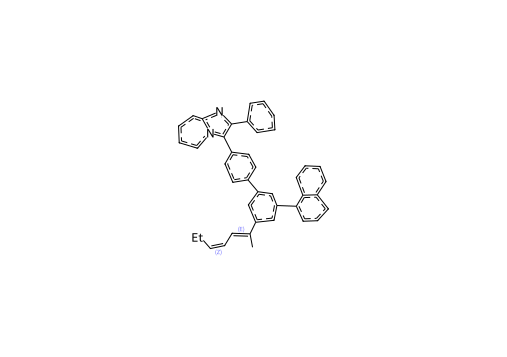 CC/C=C\C=C(/C)c1cc(-c2ccc(-c3c(-c4ccccc4)nc4ccccn34)cc2)cc(-c2cccc3ccccc23)c1